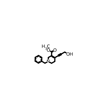 COC(=O)C1=C(C#CCO)CCN(Cc2ccccc2)C1